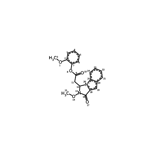 COc1ccccc1OC(=O)CC1N(OC)C(=O)c2cc3ccccc3n21